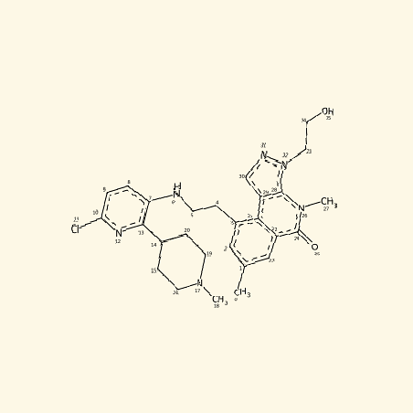 Cc1cc(CCNc2ccc(Cl)nc2C2CCN(C)CC2)c2c(c1)c(=O)n(C)c1c2cnn1CCO